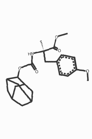 COC(=O)[C@@](C)(Cc1ccc(OC)cc1)NC(=O)OC1C2CC3CC(C2)CC1C3